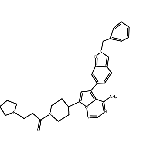 Nc1ncnn2c(C3CCN(C(=O)CCN4CCCC4)CC3)cc(-c3ccc4cn(Cc5ccccc5)nc4c3)c12